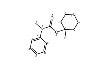 CN(C(=O)OC1(C)CCNCC1)c1ccccc1